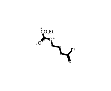 C=C(F)CCCOC(=O)C(=O)OCC